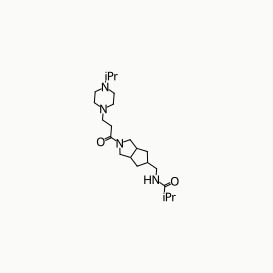 CC(C)C(=O)NCC1CC2CN(C(=O)CCN3CCN(C(C)C)CC3)CC2C1